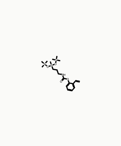 C=Cc1ccccc1OC(=O)NCCC[Si](C)(O[Si](C)(C)C)O[Si](C)(C)C